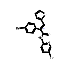 O=C(Nc1ccc(Br)cn1)/C(=C/c1cccs1)c1ccc(Br)cc1